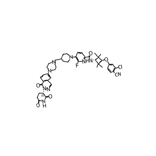 CC1(C)[C@H](NC(=O)c2ccc(N3CCC(CN4CCN(c5ccc6c(=O)n([C@H]7CCC(=O)NC7=O)ncc6c5)CC4)CC3)c(F)n2)C(C)(C)[C@H]1Oc1ccc(C#N)c(Cl)c1